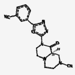 N#Cc1cccc(-c2nnc(N3CCN4CCN(C#N)C[C@@H]4C3=O)o2)c1